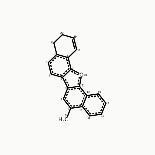 Cc1cc2c3ccc4c(c3oc2c2ccccc12)C=CCC4